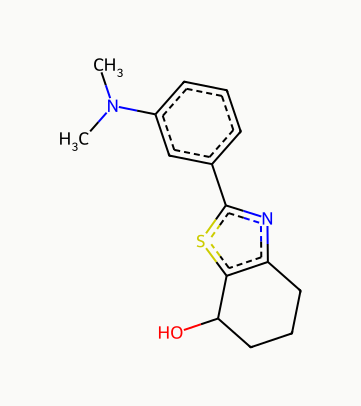 CN(C)c1cccc(-c2nc3c(s2)C(O)CCC3)c1